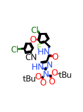 CC(C)(C)OC(=O)N(C(=O)OC(C)(C)C)c1nc(C(=O)NCc2ccc(Cl)c(Oc3cc(Cl)cc(C#N)c3)c2F)c[nH]1